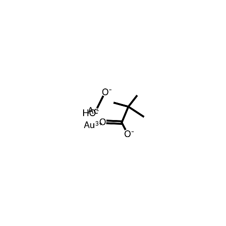 CC(=O)[O-].CC(C)(C)C(=O)[O-].[Au+3].[OH-]